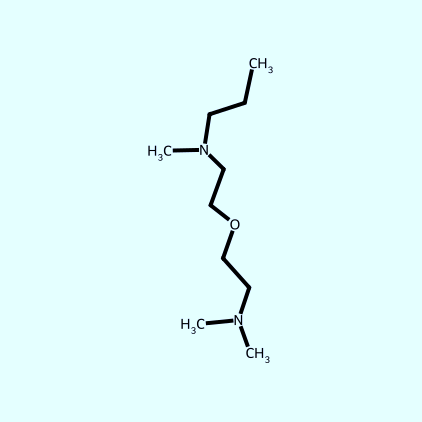 CCCN(C)CCOCCN(C)C